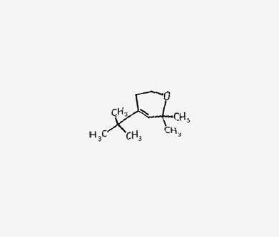 CC1(C)C=C(C(C)(C)C)CCO1